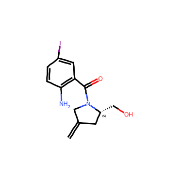 C=C1C[C@@H](CO)N(C(=O)c2cc(I)ccc2N)C1